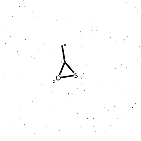 CC1OS1